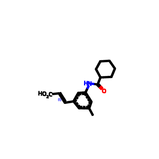 Cc1cc(/C=C/C(=O)O)cc(NC(=O)C2CCCCC2)c1